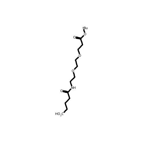 CC(C)(C)OC(=O)CCOCCOCCNC(=O)CCCC(=O)O